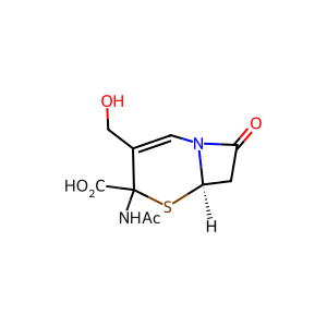 CC(=O)NC1(C(=O)O)S[C@@H]2CC(=O)N2C=C1CO